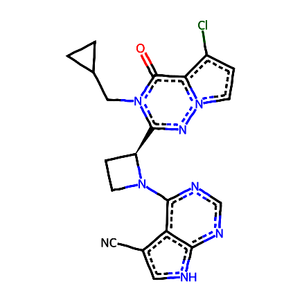 N#Cc1c[nH]c2ncnc(N3CC[C@H]3c3nn4ccc(Cl)c4c(=O)n3CC3CC3)c12